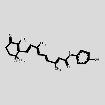 CC(C=CC1=C(C)C(=O)CCC1(C)C)=CC=CC(C)=CC(=O)Nc1ccc(O)cc1